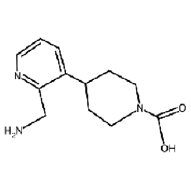 NCc1ncccc1C1CCN(C(=O)O)CC1